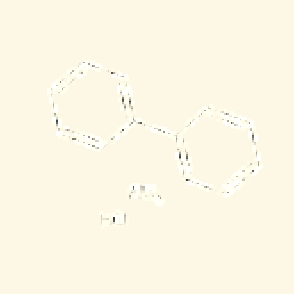 Cl.[AlH3].c1ccc(-c2ccccc2)cc1